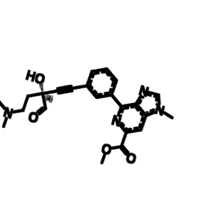 COC(=O)c1cc2c(ncn2C)c(-c2cccc(C#C[C@@](O)(C=O)CCN(C)C)c2)n1